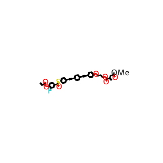 C=CC(=O)Oc1ccc(C(=O)Sc2ccc(C#Cc3ccc(C#Cc4ccc(OCCCOC(=O)C(=C)CC(=O)OC)cc4)cc3)cc2)cc1F